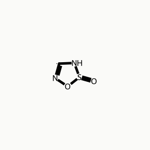 O=S1N[C]=NO1